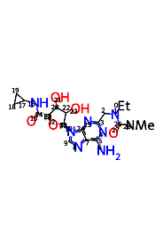 CCN(Cc1nc(N)c2ncn([C@@H]3O[C@H](C(=O)NC4CC4)C(O)C3O)c2n1)C(=O)NC